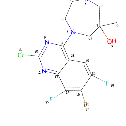 CC1(O)CNCCN(c2nc(Cl)nc3c(F)c(Br)c(F)cc23)C1